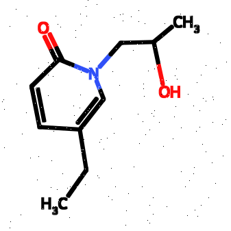 CCc1ccc(=O)n(CC(C)O)c1